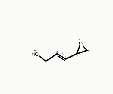 OC/C=C/C1CO1